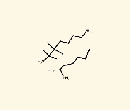 CC(C)(N)C(C)(C)CCCCN.CCCCCC(N)N